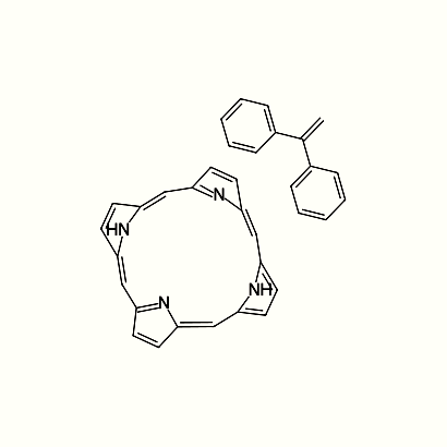 C1=Cc2cc3ccc(cc4nc(cc5ccc(cc1n2)[nH]5)C=C4)[nH]3.C=C(c1ccccc1)c1ccccc1